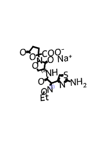 CCO/N=C(\C(=O)N[C@H]1CON(C2(C(=O)[O-])CCC(=O)O2)C1=O)c1csc(N)n1.[Na+]